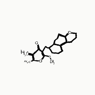 COc1oc(C)c(C)c(=O)c1CC1CCCC2=C3CCCOC3CCC21